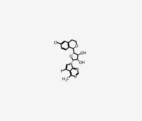 Cc1ncnc2c1c(F)cn2[C@@H]1O[C@H]([C@@H]2OCCc3cc(Cl)ccc32)[C@@H](O)[C@H]1O